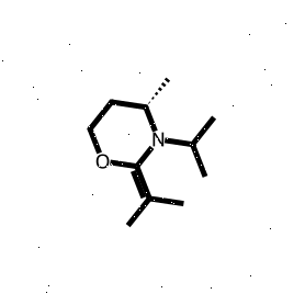 CC(C)=C1OCC[C@H](C)N1C(C)C